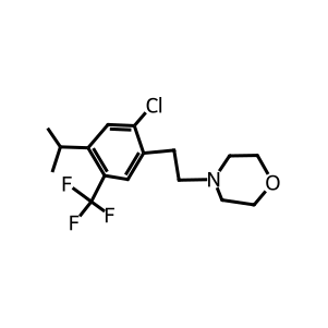 CC(C)c1cc(Cl)c(CCN2CCOCC2)cc1C(F)(F)F